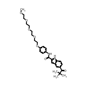 COCCOCCOCCOCCOc1ccc(NC(=O)c2cc3cc(C(=O)C(C)(C)C)ccc3[nH]2)cc1